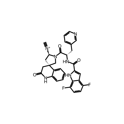 C#[N+][C@@H]1C[C@]2(CC(=O)Nc3ccccc32)CN1C(=O)[C@H](Cc1cccnc1)NC(=O)c1cc2c(F)ccc(F)c2[nH]1